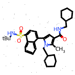 Cc1c(C(=O)NCC2CCCCC2)cc(-c2ccc(S(=O)(=O)NC(C)(C)C)c3ccccc23)n1CC1CCCCC1